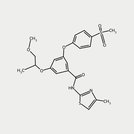 COCC(C)Oc1cc(Oc2ccc(S(C)(=O)=O)cc2)cc(C(=O)Nc2nc(C)cs2)c1